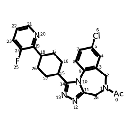 CC(=O)N1Cc2cc(Cl)ccc2-n2c(nnc2C2CCC(c3ncccc3F)CC2)C1